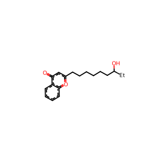 CCC(O)CCCCCCc1cc(=O)c2ccccc2o1